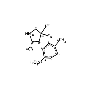 Cc1ccc(S(=O)(=O)O)cc1.N#C[C@H]1CC(F)(F)CN1